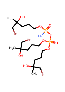 CC(O)(CBr)CCCOP(N)(=O)OP(=O)(OCCCC(C)(O)CBr)OCCCC(C)(O)CBr